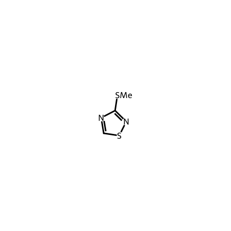 [CH2]Sc1ncsn1